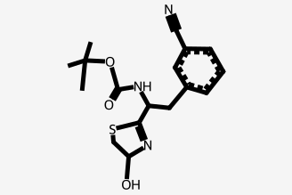 CC(C)(C)OC(=O)NC(Cc1cccc(C#N)c1)C1=NC(O)CS1